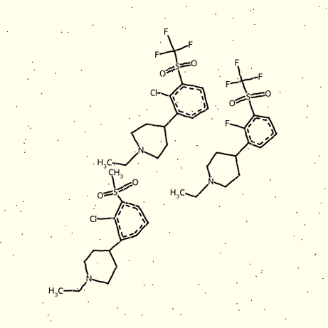 CCN1CCC(c2cccc(S(=O)(=O)C(F)(F)F)c2Cl)CC1.CCN1CCC(c2cccc(S(=O)(=O)C(F)(F)F)c2F)CC1.CCN1CCC(c2cccc(S(C)(=O)=O)c2Cl)CC1